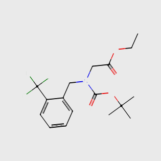 CCOC(=O)CN(Cc1ccccc1C(F)(F)F)C(=O)OC(C)(C)C